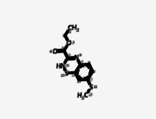 CCOC(=O)C1=Nc2ccc(SC)cc2SN1